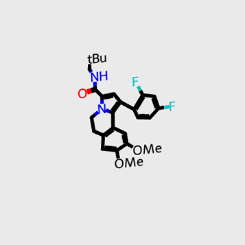 COc1cc2c(cc1OC)-c1c(-c3ccc(F)cc3F)cc(C(=O)NCC(C)(C)C)n1CC2